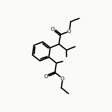 CCOC(=O)C(C)c1ccccc1C(C(=O)OCC)C(C)C